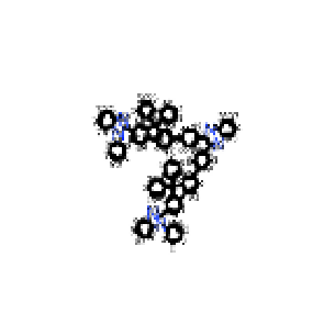 c1ccc(-n2c(-c3ccc4c(c3)C(c3ccccc3)(c3ccccc3)c3cc(-c5ccc(-c6nc7ccccc7nc6-c6ccc(-c7ccc8c(c7)C(c7ccccc7)(c7ccccc7)c7cc(-c9nc%10ccccc%10n9-c9ccccc9)ccc7-8)cc6)cc5)ccc3-4)nc3ccccc32)cc1